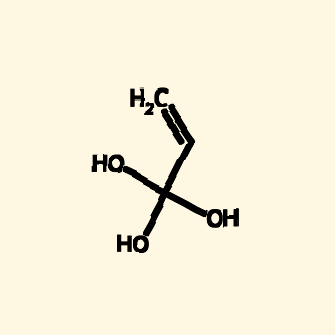 C=CC(O)(O)O